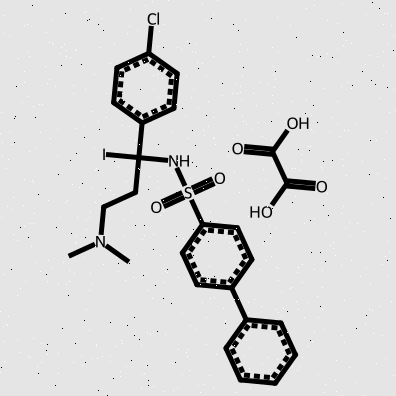 CN(C)CCC(I)(NS(=O)(=O)c1ccc(-c2ccccc2)cc1)c1ccc(Cl)cc1.O=C(O)C(=O)O